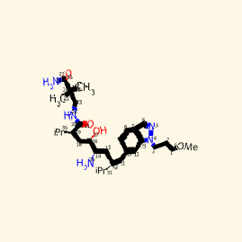 COCCCn1ncc2ccc(C[C@@H](C[C@H](N)[C@@H](O)C[C@H](C(=O)NCC(C)(C)C(N)=O)C(C)C)C(C)C)cc21